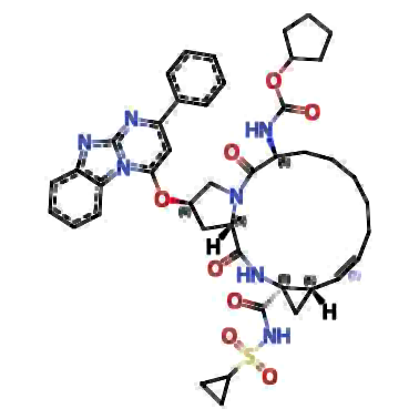 O=C(N[C@H]1CCCCC/C=C\[C@@H]2C[C@@]2(C(=O)NS(=O)(=O)C2CC2)NC(=O)[C@@H]2C[C@@H](Oc3cc(-c4ccccc4)nc4nc5ccccc5n34)CN2C1=O)OC1CCCC1